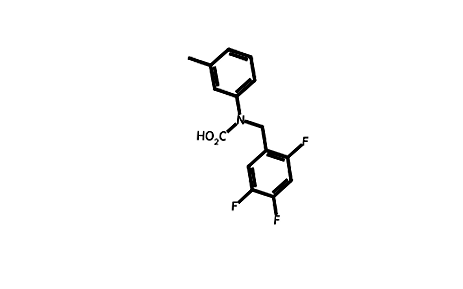 Cc1cccc(N(Cc2cc(F)c(F)cc2F)C(=O)O)c1